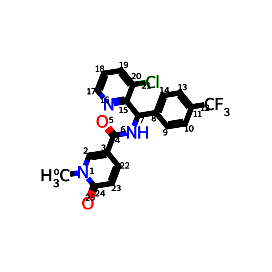 Cn1cc(C(=O)NC(c2ccc(C(F)(F)F)cc2)c2ncccc2Cl)ccc1=O